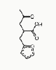 CC(=O)CC(Cc1ccco1)C(=O)O